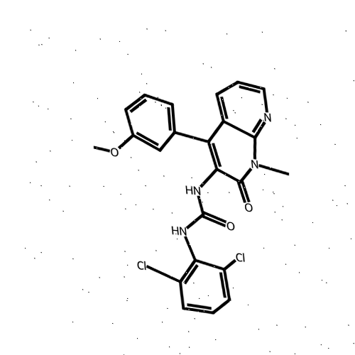 COc1cccc(-c2c(NC(=O)Nc3c(Cl)cccc3Cl)c(=O)n(C)c3ncccc23)c1